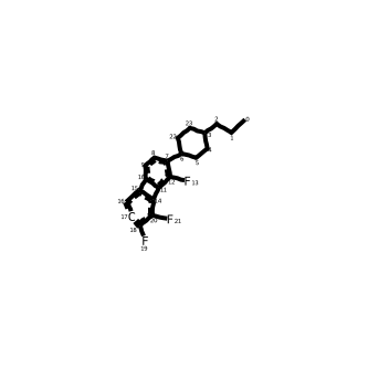 CCCC1CCC(c2ccc3c(c2F)-c2c-3ccc(F)c2F)CC1